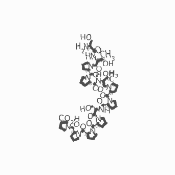 C[C@@H](O)[C@H](NC(=O)[C@@H](N)CO)C(=O)N1CCC[C@H]1C(=O)N1CCC[C@H]1C(=O)N[C@H](C(=O)N1CCC[C@H]1C(=O)N1CCC[C@H]1C(=O)N[C@@H](CO)C(=O)N1CCC[C@H]1C(=O)N1CCC[C@H]1C(=O)N1CCC[C@H]1C(=O)N1CCC[C@H]1C(=O)O)[C@@H](C)O